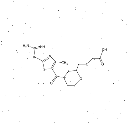 Cc1nc(NC(=N)N)sc1C(=O)N1CCOC(COCC(=O)O)C1